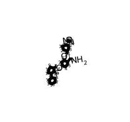 NCc1ccc(OCc2cccc(-c3ccccc3)c2F)cc1OCc1ccc2nonc2c1